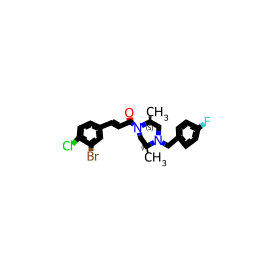 C[C@@H]1CN(C(=O)C=Cc2ccc(Cl)c(Br)c2)[C@@H](C)CN1Cc1ccc(F)cc1